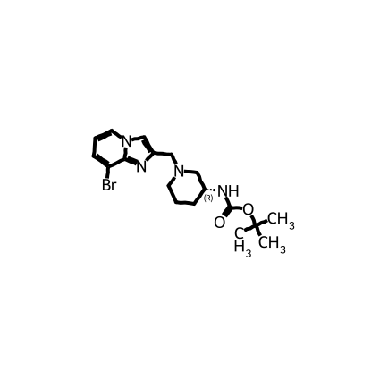 CC(C)(C)OC(=O)N[C@@H]1CCCN(Cc2cn3cccc(Br)c3n2)C1